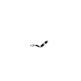 O=C=[N][GeH3]